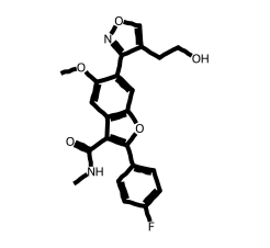 CNC(=O)c1c(-c2ccc(F)cc2)oc2cc(-c3nocc3CCO)c(OC)cc12